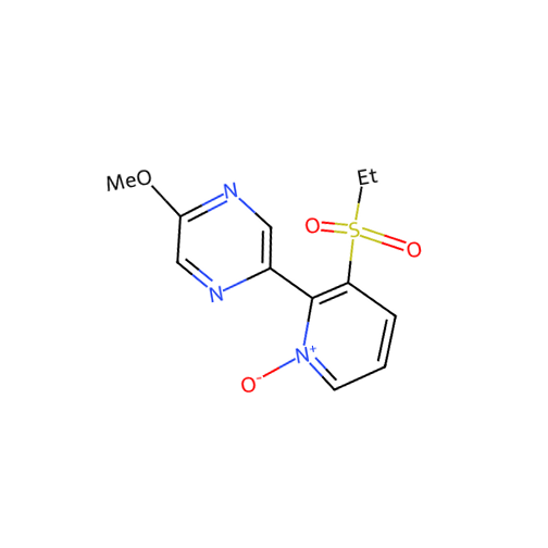 CCS(=O)(=O)c1ccc[n+]([O-])c1-c1cnc(OC)cn1